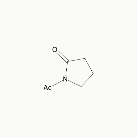 [CH2]C(=O)N1CCCC1=O